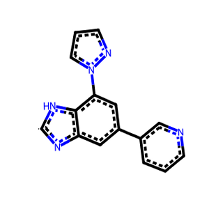 [c]1nc2cc(-c3cccnc3)cc(-n3cccn3)c2[nH]1